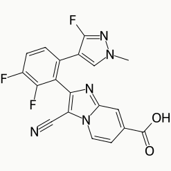 Cn1cc(-c2ccc(F)c(F)c2-c2nc3cc(C(=O)O)ccn3c2C#N)c(F)n1